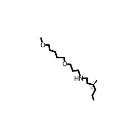 CCC[C@H](C)CCNCCCOCCCCCOC